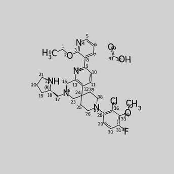 CCOc1ncccc1-c1ccc2c(n1)CN(C[C@H]1CCCN1)CC21CCN(c2ccc(F)c(OC)c2Cl)CC1.O=CO